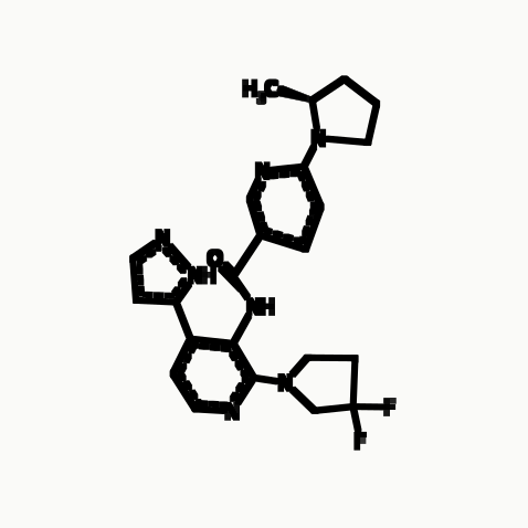 C[C@H]1CCCN1c1ccc(C(=O)Nc2c(-c3ccn[nH]3)ccnc2N2CCC(F)(F)C2)cn1